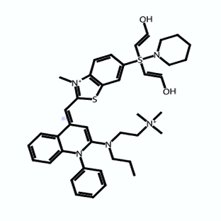 CCCN(CC[N+](C)(C)C)C1=C/C(=C\c2sc3cc(S(C=CO)(C=CO)N4CCCCC4)ccc3[n+]2C)c2ccccc2N1c1ccccc1